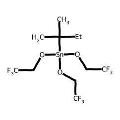 CC[C](C)(C)[Sn]([O]CC(F)(F)F)([O]CC(F)(F)F)[O]CC(F)(F)F